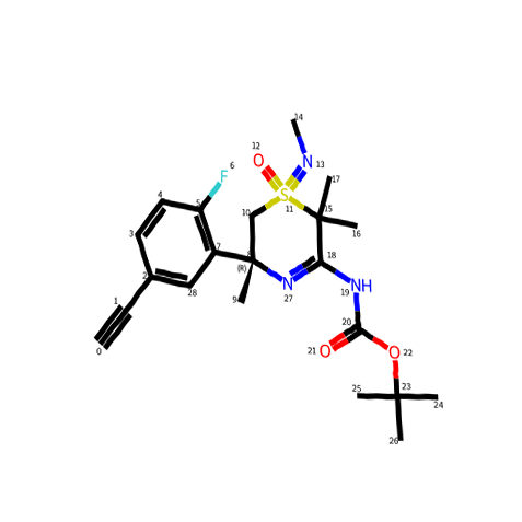 C#Cc1ccc(F)c([C@]2(C)CS(=O)(=NC)C(C)(C)C(NC(=O)OC(C)(C)C)=N2)c1